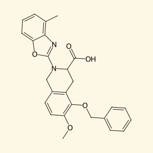 COc1ccc2c(c1OCc1ccccc1)CC(C(=O)O)N(c1nc3c(C)cccc3o1)C2